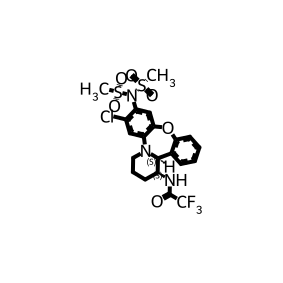 CS(=O)(=O)N(c1cc2c(cc1Cl)N1CCC[C@H](NC(=O)C(F)(F)F)[C@@H]1c1ccccc1O2)S(C)(=O)=O